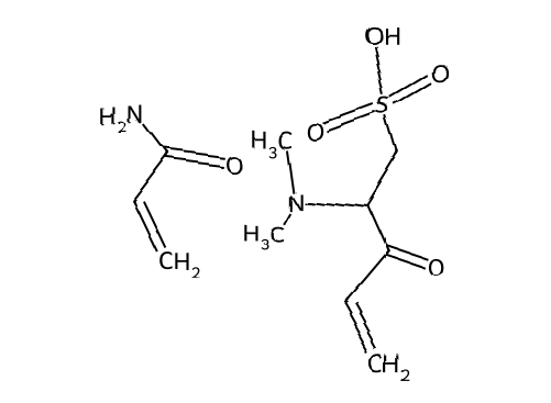 C=CC(=O)C(CS(=O)(=O)O)N(C)C.C=CC(N)=O